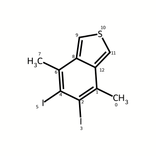 Cc1c(I)c(I)c(C)c2cscc12